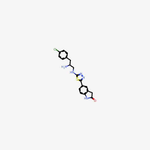 NC(CNc1nnc(-c2ccc3c(c2)CC(=O)N3)s1)Cc1ccc(Cl)cc1